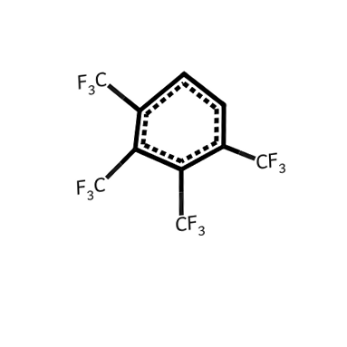 FC(F)(F)c1ccc(C(F)(F)F)c(C(F)(F)F)c1C(F)(F)F